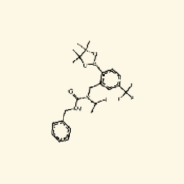 CC(I)N(Cc1cc(C(F)(F)F)ccc1B1OC(C)(C)C(C)(C)O1)C(=O)NCc1ccccc1